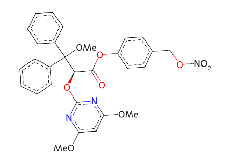 COc1cc(OC)nc(O[C@H](C(=O)Oc2ccc(CO[N+](=O)[O-])cc2)C(OC)(c2ccccc2)c2ccccc2)n1